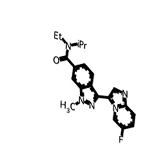 CCN(C(=O)c1ccc2c(-c3cnc4ccc(F)cn34)nn(C)c2c1)C(C)C